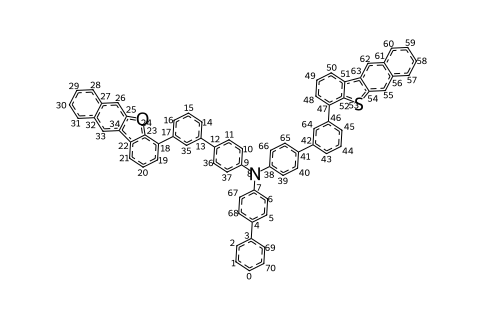 c1ccc(-c2ccc(N(c3ccc(-c4cccc(-c5cccc6c5oc5cc7ccccc7cc56)c4)cc3)c3ccc(-c4cccc(-c5cccc6c5sc5cc7ccccc7cc56)c4)cc3)cc2)cc1